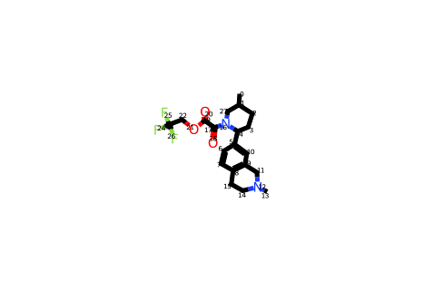 CC1CCC(c2ccc3c(c2)CN(C)CC3)N(C(=O)C(=O)OCC(F)(F)F)C1